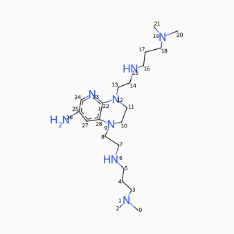 CN(C)CCCNCCN1CCN(CCNCCCN(C)C)c2ncc(N)cc21